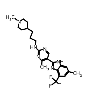 Cc1cc(C(F)(F)F)c2nc(-c3cnc(NCCCC4CCN(C)CC4)nc3C)[nH]c2c1